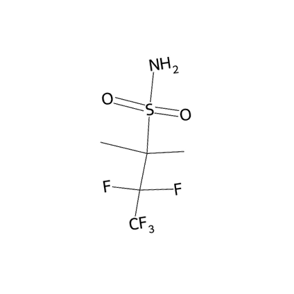 CC(C)(C(F)(F)C(F)(F)F)S(N)(=O)=O